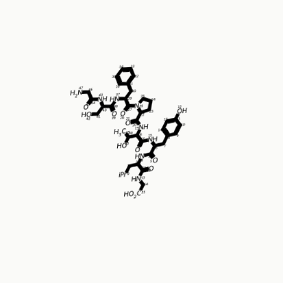 CC(C)CC(NC(=O)C(Cc1ccc(O)cc1)NC(=O)C(NC(=O)C1CCCN1C(=O)C(Cc1ccccc1)NC(=O)C(CO)NC(=O)CN)C(C)O)C(=O)NCC(=O)O